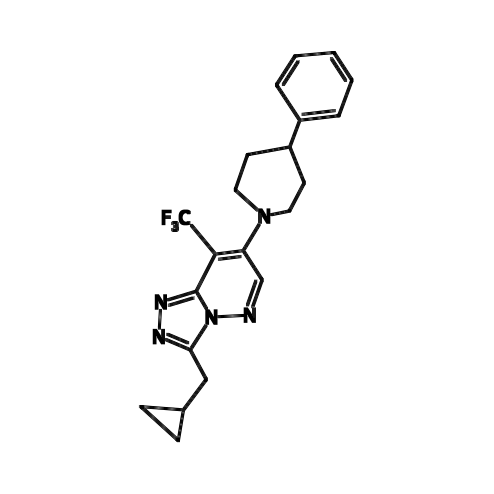 FC(F)(F)c1c(N2CCC(c3ccccc3)CC2)cnn2c(CC3CC3)nnc12